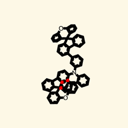 c1ccc(-c2ccccc2N(c2cccc(-c3cccc4c3-c3ccccc3C43c4ccccc4Oc4ccccc43)c2)c2ccc3c(c2)C2(c4ccccc4Oc4ccccc42)c2ccccc2-3)cc1